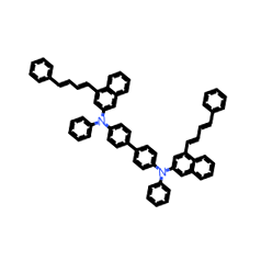 C(/C=C/c1cc(N(c2ccccc2)c2ccc(-c3ccc(N(c4ccccc4)c4cc(/C=C/C=C/c5ccccc5)c5ccccc5c4)cc3)cc2)cc2ccccc12)=C\c1ccccc1